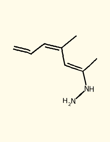 C=C/C=C(C)\C=C(/C)NN